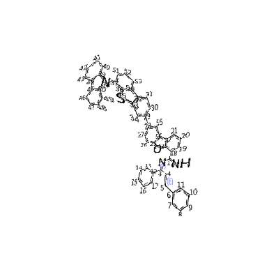 N=C(/N=C(\C=C\c1ccccc1)c1ccccc1)c1cccc2c1oc1ccc(-c3ccc4c(c3)sc3c(-n5c6ccccc6c6ccccc65)cccc34)cc12